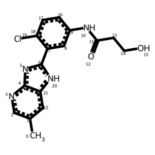 Cc1cnc2nc(-c3cc(NC(=O)CCO)ccc3Cl)[nH]c2c1